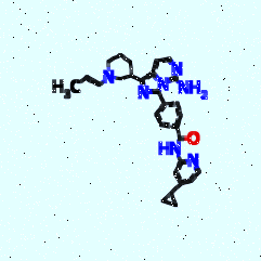 CC=CN1CCCC(c2nc(-c3ccc(C(=O)Nc4cc(C5CC5)ccn4)cc3)n3c(N)nccc23)C1